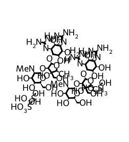 CN[C@@H]1[C@H](O[C@H]2[C@H](O[C@H]3[C@H](O)[C@@H](O)[C@H](N=C(N)N)[C@@H](O)[C@@H]3N=C(N)N)O[C@@H](C)[C@]2(O)CO)O[C@@H](CO)[C@H](O)[C@H]1O.CN[C@@H]1[C@H](O[C@H]2[C@H](O[C@H]3[C@H](O)[C@@H](O)[C@H](N=C(N)N)[C@@H](O)[C@@H]3N=C(N)N)O[C@@H](C)[C@]2(O)CO)O[C@@H](CO)[C@H](O)[C@H]1O.O=S(=O)(O)O.O=S(=O)(O)O.O=S(=O)(O)O